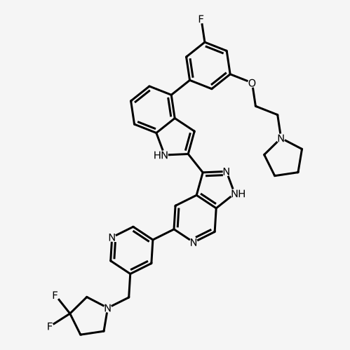 Fc1cc(OCCN2CCCC2)cc(-c2cccc3[nH]c(-c4n[nH]c5cnc(-c6cncc(CN7CCC(F)(F)C7)c6)cc45)cc23)c1